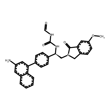 COc1ccc2c(c1)C(=O)N(C[C@H](NC(=O)NC=O)c1ccc(-c3cc(N)cc4ccccc34)cc1)C2